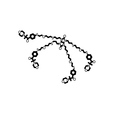 CC(C)(C(=O)c1ccc(SCCOCCCSCCCN2C(=O)N(CCCSCCCOCCSc3ccc(C(=O)C(C)(C)N4CCOCC4)cc3)C3C2N(CCCSCCCOCCSc2ccc(C(=O)C(C)(C)N4CCOCC4)cc2)C(=O)N3CCCSCCCOCCSc2ccc(C(=O)C(C)(C)N3CCOCC3)cc2)cc1)N1CCOCC1